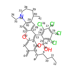 C=c1cc2c(cc1C(C)CCCC)=C(c1c(Cl)c(Cl)c(Cl)c(Cl)c1C(=O)O)c1cc3c(cc1O2)N(CC)CCCC3C